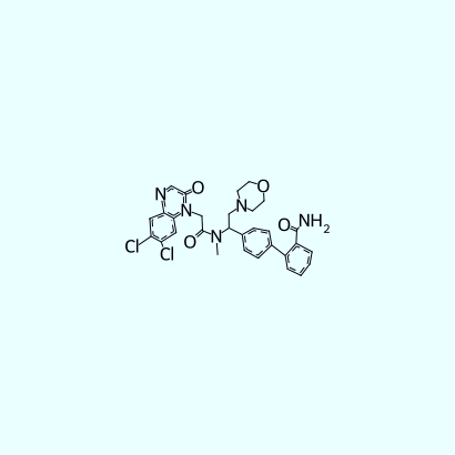 CN(C(=O)Cn1c(=O)cnc2cc(Cl)c(Cl)cc21)C(CN1CCOCC1)c1ccc(-c2ccccc2C(N)=O)cc1